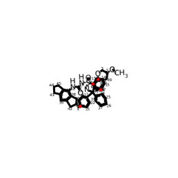 CO[C@@H]1COc2c([S@@](=O)(=NC(c3ccccc3)(c3ccccc3)c3ccccc3)NC(=O)Nc3c4c(cc5c3C[C@H](F)C5)CCC4)cnn2C1